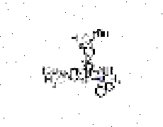 C=C(CC(C)(C)C)N1CCCN(c2nc(C(=N)/C(CCC)=C(\C)[C@H]3CCCCC34CCCC4)cc(N3CCN(C(=C)CC(C)(C)C)C4(CC4)C3)n2)CC1